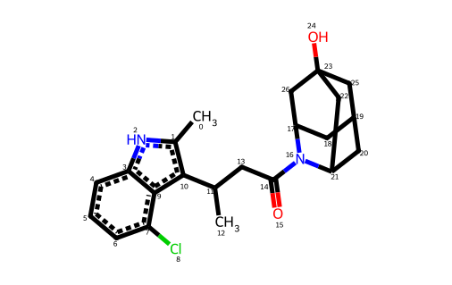 Cc1[nH]c2cccc(Cl)c2c1C(C)CC(=O)N1C2CC3CC1CC(O)(C3)C2